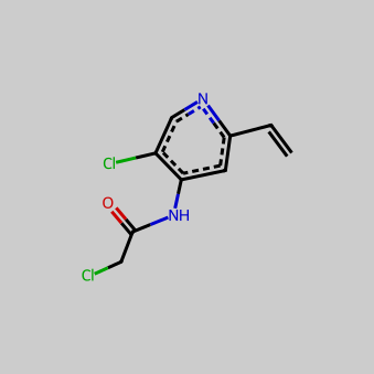 C=Cc1cc(NC(=O)CCl)c(Cl)cn1